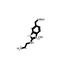 CCCCCCCCCCc1ccc2nc(NCCN)sc2c1.Cl